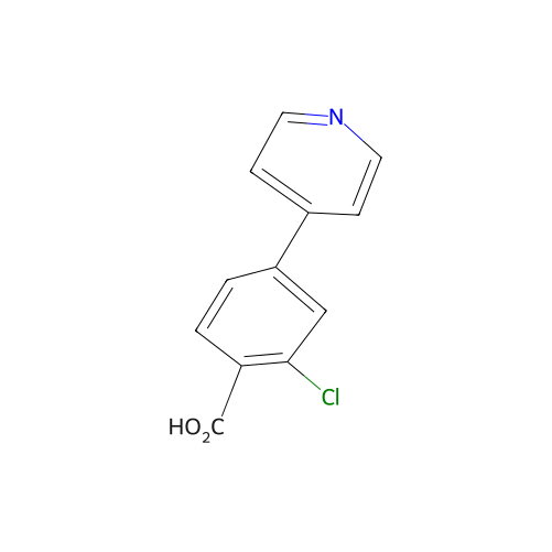 O=C(O)c1ccc(-c2ccncc2)cc1Cl